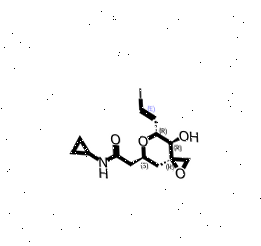 O=C(C[C@@H]1C[C@@]2(CO2)[C@H](O)[C@@H](/C=C/I)O1)NC1CC1